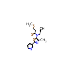 C#CCN(C(=S)CCSC)c1sc(-c2cccnc2)nc1C